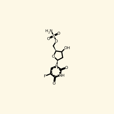 NS(=O)(=O)OC[C@@H]1O[C@H](n2cc(F)c(=O)[nH]c2=O)CC1O